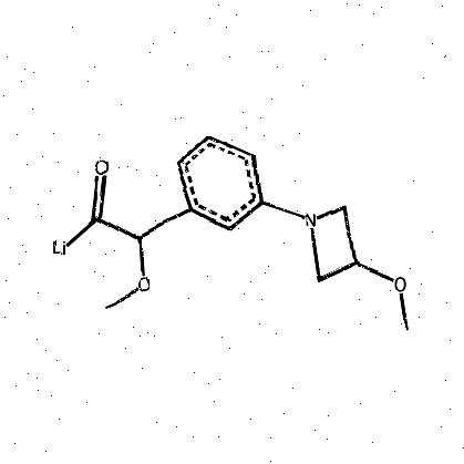 [Li][C](=O)C(OC)c1cccc(N2CC(OC)C2)c1